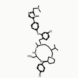 CC(C)C1CCN(Cc2ccc(Cl)cc2Oc2ccc(-c3cnc(CN(C)C)n3C)cc2)C(C)CNC(CO)CNC2(Cc3ccc(Cl)cc3)CCCN(C1)C2